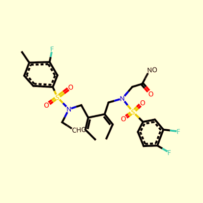 C/C=C(CN(CC=O)S(=O)(=O)c1ccc(C)c(F)c1)\C(=C/C)CN(CC(=O)N=O)S(=O)(=O)c1ccc(F)c(F)c1